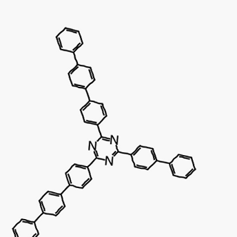 c1ccc(-c2ccc(-c3ccc(-c4nc(-c5ccc(-c6ccccc6)cc5)nc(-c5ccc(-c6ccc(-c7ccccc7)cc6)cc5)n4)cc3)cc2)cc1